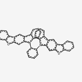 c1ccc(-n2c3ccccc3c3cc4c(cc32)oc2ccccc24)c(-n2c3ccccc3c3cc4c(cc32)oc2ccccc24)c1